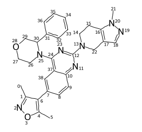 Cc1noc(C)c1-c1ccc2nc(N3CCc4c(cnn4C)C3)nc(N3CCOCC3c3ccccc3)c2c1